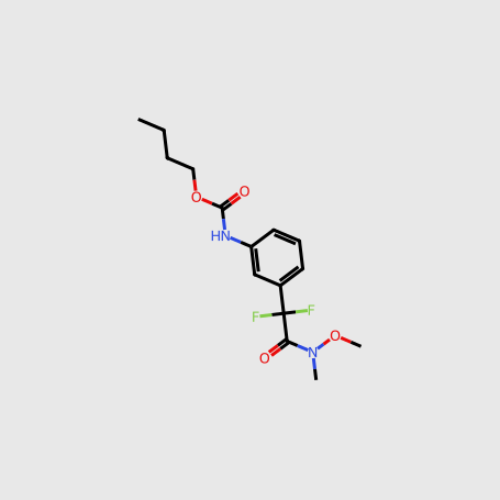 CCCCOC(=O)Nc1cccc(C(F)(F)C(=O)N(C)OC)c1